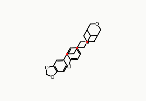 Clc1ccc(COC2C3COCC2CN(CCCCc2ccc4c(c2)OCO4)C3)cc1